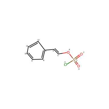 O=S(=O)(Cl)OC=Cc1ccccc1